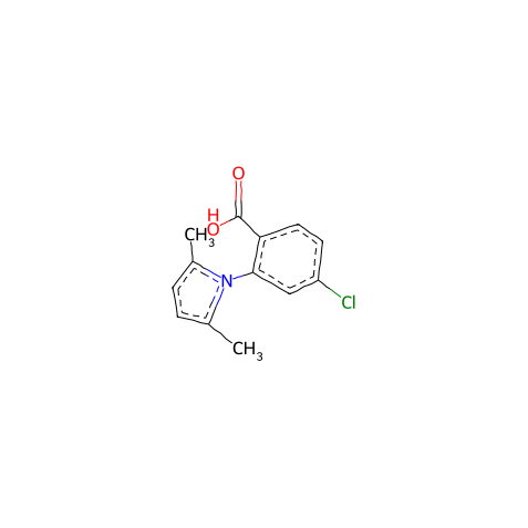 Cc1ccc(C)n1-c1cc(Cl)ccc1C(=O)O